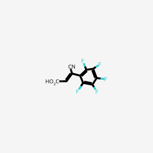 N#CC(=CC(=O)O)c1c(F)c(F)c(F)c(F)c1F